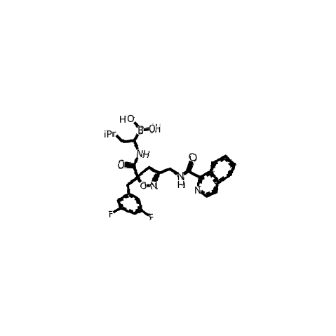 CC(C)CC(NC(=O)C1(Cc2cc(F)cc(F)c2)CC(CNC(=O)c2nccc3ccccc23)=NO1)B(O)O